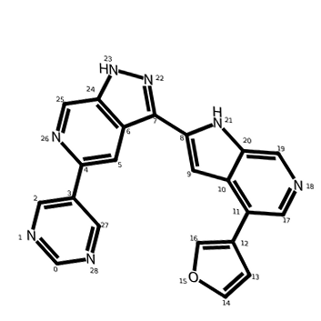 c1ncc(-c2cc3c(-c4cc5c(-c6ccoc6)cncc5[nH]4)n[nH]c3cn2)cn1